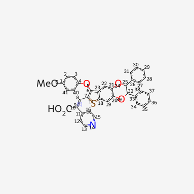 COc1ccc(Oc2c(/C=C(/C(=O)O)c3ccncc3)sc3cc4c(cc23)OC(c2ccccc2)C(c2ccccc2)O4)cc1